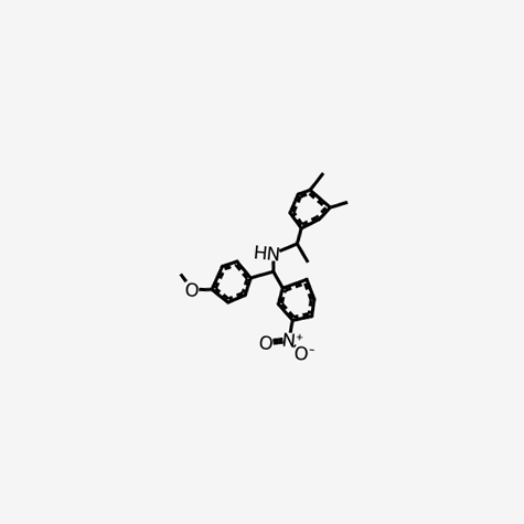 COc1ccc(C(NC(C)c2ccc(C)c(C)c2)c2cccc([N+](=O)[O-])c2)cc1